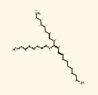 CCCCCCCCC=CC=C(OCCCCCCCC)OCCCCCCCC